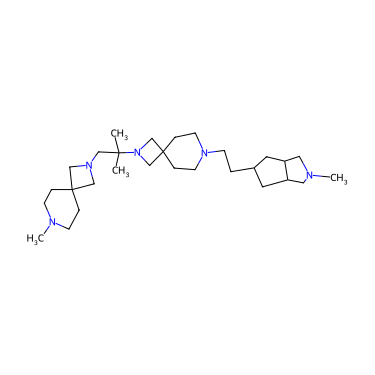 CN1CCC2(CC1)CN(CC(C)(C)N1CC3(CCN(CCC4CC5CN(C)CC5C4)CC3)C1)C2